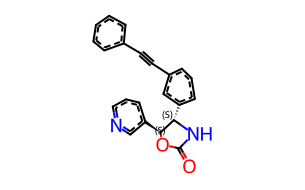 O=C1N[C@@H](c2cccc(C#Cc3ccccc3)c2)[C@H](c2cccnc2)O1